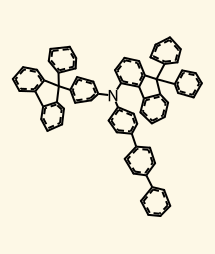 c1ccc(-c2ccc(-c3ccc(N(c4ccc(C5(c6ccccc6)c6ccccc6-c6ccccc65)cc4)c4cccc5c4-c4ccccc4C5(c4ccccc4)c4ccccc4)cc3)cc2)cc1